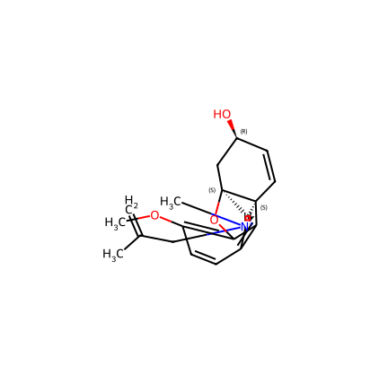 C=C(C)C[N+]1(C)CC[C@@]23C=C[C@H](O)C[C@@H]2Oc2c(OC)ccc(c23)C1